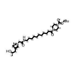 C[C@@H](O)Cc1cn(CC(=O)NCCCCCCCCCCC(=O)N2CCN(C(=O)OC(C)(C)C)CC2)nn1